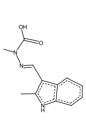 Cc1[nH]c2ccccc2c1C=NN(C)C(=O)O